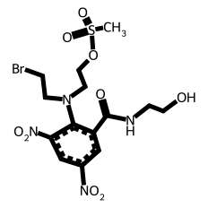 CS(=O)(=O)OCCN(CCBr)c1c(C(=O)NCCO)cc([N+](=O)[O-])cc1[N+](=O)[O-]